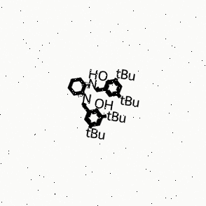 CC(C)(C)c1cc(C=N[C@H]2CCCC[C@@H]2N=Cc2cc(C(C)(C)C)cc(C(C)(C)C)c2O)c(O)c(C(C)(C)C)c1